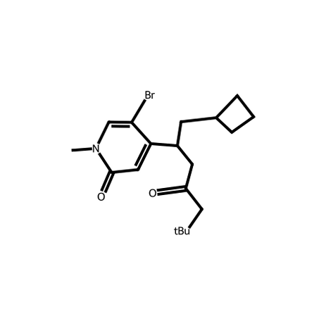 Cn1cc(Br)c(C(CC(=O)CC(C)(C)C)CC2CCC2)cc1=O